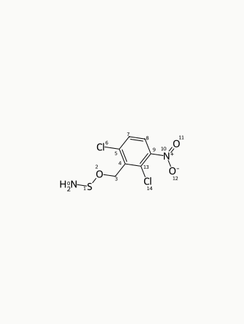 NSOCc1c(Cl)ccc([N+](=O)[O-])c1Cl